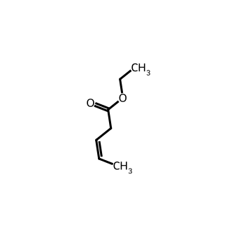 C/C=C\CC(=O)OCC